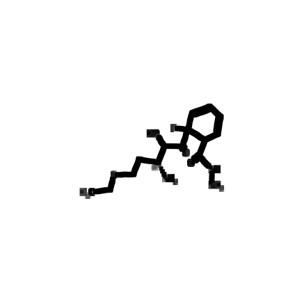 CCSCC[C@@H](N)C(O)C(=O)C1(F)C=CC=CC1C(=O)NN